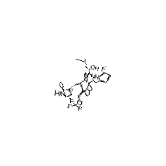 CC(C)CC(O)C(=O)NC(Cc1cccc(F)c1)C(=O)NC(C[C@@H]1CCNC1=O)C(=O)COC(F)(F)F